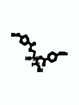 COc1ccc(C(=O)OC[C@@H](O)[C@@H](OC(=O)c2ccc(OC)cc2)[C@H](F)C=N)cc1